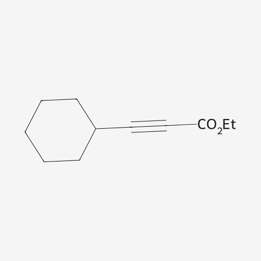 CCOC(=O)C#CC1CCCCC1